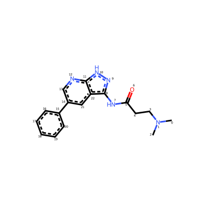 CN(C)CCC(=O)Nc1n[nH]c2ncc(-c3ccccc3)cc12